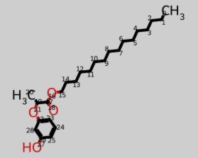 CCCCCCCCCCCCCCCCOC(=O)C(C)Oc1cccc(O)c1